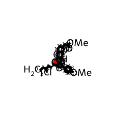 C=C(I)CC(Cl)CC[C@@]12OC3C4OC(CC(=O)OC)CCC4OC4C(O1)[C@]1(OC(c5ccc(OC)cc5)OC21)O[C@H]34